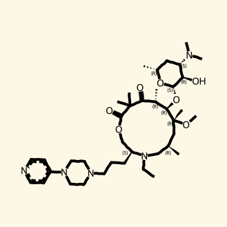 CCN1C[C@H](C)C[C@@](C)(OC)[C@H](O[C@@H]2O[C@H](C)C[C@H](N(C)C)[C@H]2O)[C@@H](C)C(=O)C(C)(C)C(=O)OC[C@@H]1CCCN1CCN(c2ccncc2)CC1